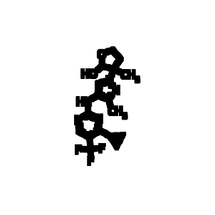 Cc1nn(C2(C)CCOC2O)cc1Nc1ncc(C(F)(F)F)c(C2CC2)n1